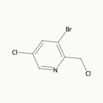 ClCc1ncc(Cl)cc1Br